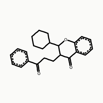 O=C(CCC1C(=O)c2ccccc2OC1C1CCCCC1)c1ccccc1